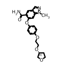 Cn1ncc2cc(C(N)=O)c(Oc3ccc(OCCO[C@@H]4CCOC4)cc3)cc21